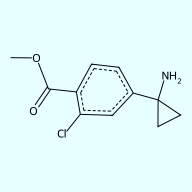 COC(=O)c1ccc(C2(N)CC2)cc1Cl